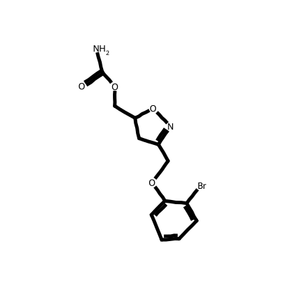 NC(=O)OCC1CC(COc2ccccc2Br)=NO1